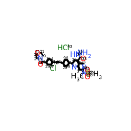 CN(c1cc2nc(-c3ccc(C#Cc4ccc(C(=O)N5CCOCC5)cc4Cl)cc3)cc(C(=O)NN)c2cn1)S(C)(=O)=O.Cl